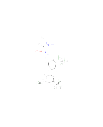 O=C(NCc1cc(-c2cc(C(F)(F)F)cc(C(F)(F)F)c2)cc(C(F)(F)F)c1)C1CCCN1